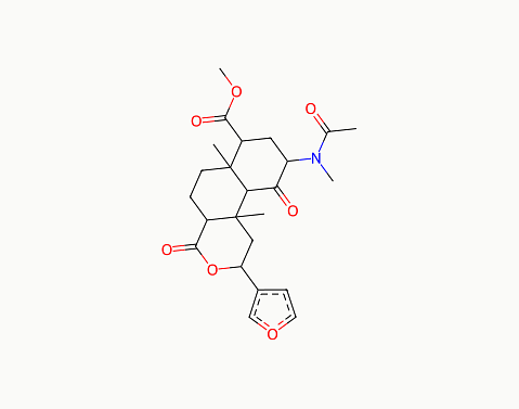 COC(=O)C1CC(N(C)C(C)=O)C(=O)C2C1(C)CCC1C(=O)OC(c3ccoc3)CC12C